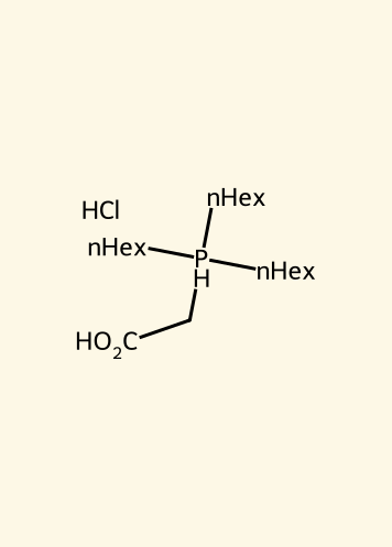 CCCCCC[PH](CCCCCC)(CCCCCC)CC(=O)O.Cl